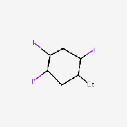 CCC1CC(I)C(I)CC1I